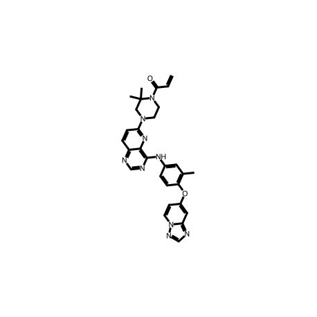 C=CC(=O)N1CCN(c2ccc3ncnc(Nc4ccc(Oc5ccn6ncnc6c5)c(C)c4)c3n2)CC1(C)C